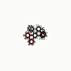 c1ccc(-c2ccccc2-c2cc(-c3ccccc3)c(-c3cccc4sc5ccccc5c34)c(-c3ccnnn3)c2-c2ccccc2-c2ccccc2)cc1